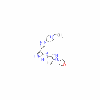 CCN1CCC(n2cc(-c3c[nH]c4ncc(-c5cnn(C6CCOCC6)c5C)nc34)cn2)CC1